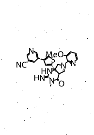 COc1cccnc1N1CC2C(=O)N(C)C(=N)N[C@@]2(c2cc(-c3cncc(C#N)c3)cs2)C1